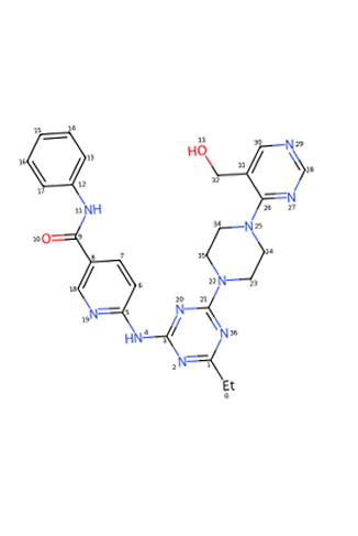 CCc1nc(Nc2ccc(C(=O)Nc3ccccc3)cn2)nc(N2CCN(c3ncncc3CO)CC2)n1